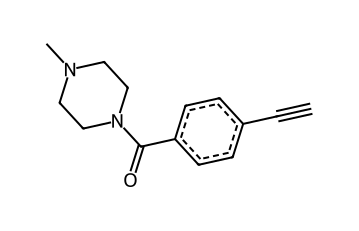 C#Cc1ccc(C(=O)N2CCN(C)CC2)cc1